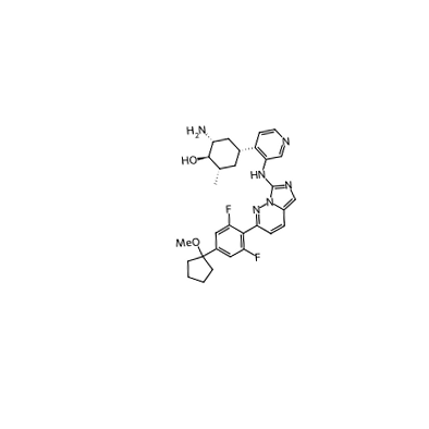 COC1(c2cc(F)c(-c3ccc4cnc(Nc5cnccc5[C@H]5C[C@@H](N)[C@H](O)[C@@H](C)C5)n4n3)c(F)c2)CCCC1